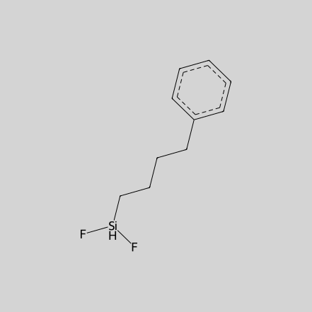 F[SiH](F)CCCCc1ccccc1